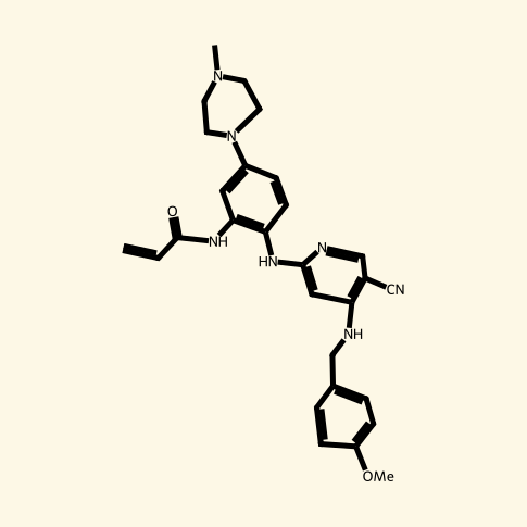 C=CC(=O)Nc1cc(N2CCN(C)CC2)ccc1Nc1cc(NCc2ccc(OC)cc2)c(C#N)cn1